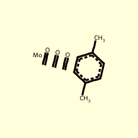 Cc1ccc(C)cc1.[C]=O.[C]=O.[C]=O.[Mo]